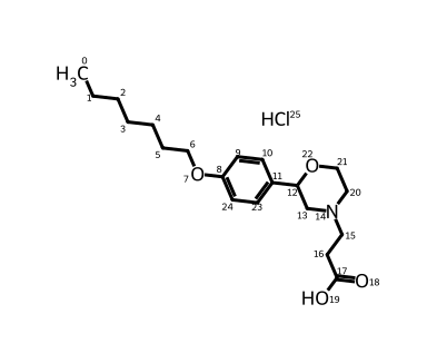 CCCCCCCOc1ccc(C2CN(CCC(=O)O)CCO2)cc1.Cl